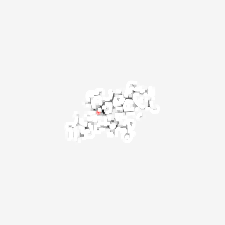 CC(C)[C@@H](C)[C@@]1(C)CC[C@]2(C)[C@H]3CC[C@@H]4[C@@]5(COC[C@]4(C)[C@@H](OC[C@](C)(N)C(C)C)[C@H](n4nc([N+](=O)[O-])nc4Br)C5)C3=CC[C@@]2(C)[C@@H]1C(=O)O